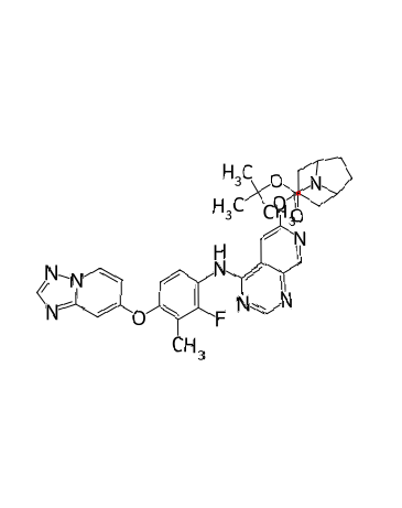 Cc1c(Oc2ccn3ncnc3c2)ccc(Nc2ncnc3cnc(OC4CC5CCC(C4)N5C(=O)OC(C)(C)C)cc23)c1F